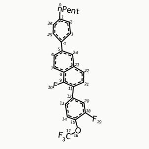 CCCCCc1ccc(-c2ccc3c(F)c(-c4ccc(OC(F)(F)F)c(F)c4)ccc3c2)cc1